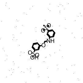 CS(=O)(=O)c1cccc(NCOc2cccc(S(=O)(=O)O)c2)c1